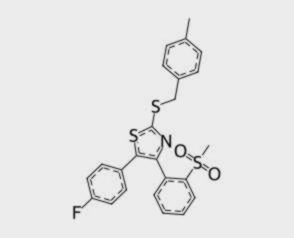 Cc1ccc(CSc2nc(-c3ccccc3S(C)(=O)=O)c(-c3ccc(F)cc3)s2)cc1